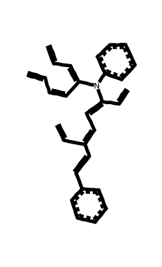 C=C/C=C\C(=C/C=C)N(/C(C=C)=C/C=C(\C=C)C=Cc1ccccc1)c1ccccc1